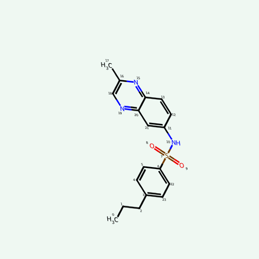 CCCc1ccc(S(=O)(=O)Nc2ccc3nc(C)cnc3c2)cc1